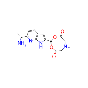 C[C@@H](N)c1ccc2cc(B3OC(=O)CN(C)CC(=O)O3)[nH]c2n1